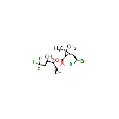 C#CC(OC(=O)C1C(C=C(Br)Br)C1(C)C)/C(C)=C/C(F)(F)F